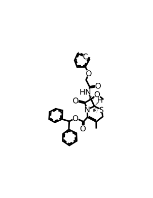 CO[C@@]1(NC(=O)COc2ccccc2)C(=O)N2C(C(=O)OC(c3ccccc3)c3ccccc3)=C(C)CS[C@@H]21